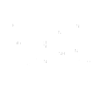 CC(C)CC1(c2cccc(F)c2)NC(=N)N(Cc2cccc(C(=O)N3Cc4nccnc4C3)c2)C1=O